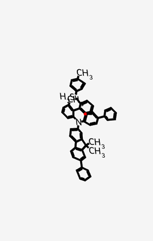 Cc1ccc([SiH2]c2ccccc2-c2c(C)cccc2N(c2ccc(-c3ccccc3)cc2)c2ccc3c(c2)C(C)(C)c2cc(-c4ccccc4)ccc2-3)cc1